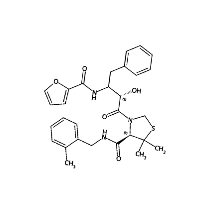 Cc1ccccc1CNC(=O)[C@H]1N(C(=O)[C@@H](O)C(Cc2ccccc2)NC(=O)c2ccco2)CSC1(C)C